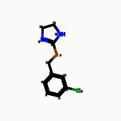 Clc1cccc(CSC2=NCCN2)c1